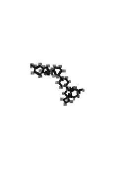 CN1CCN(C2(CNC3CCN(c4cccc(-c5cc6cc(F)ccc6[nH]5)c4)CC3)CCC2)CC1